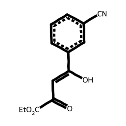 CCOC(=O)C(=O)/C=C(\O)c1cccc(C#N)c1